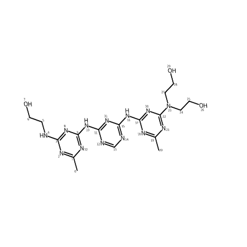 Cc1nc(NCCO)nc(Nc2ncnc(Nc3nc(C)nc(N(CCO)CCO)n3)n2)n1